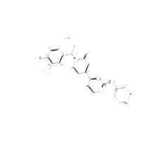 O=c1cc(-c2ccnc(NC3CCOCC3)n2)ccn1C(CO)c1ccc(Cl)c(Cl)c1